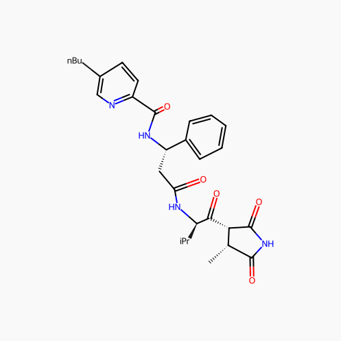 CCCCc1ccc(C(=O)N[C@@H](CC(=O)N[C@@H](C(=O)[C@@H]2C(=O)NC(=O)[C@@H]2C)C(C)C)c2ccccc2)nc1